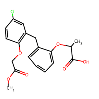 COC(=O)COc1ccc(Cl)cc1Cc1ccccc1OC(C)C(=O)O